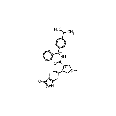 CC(C)c1ccc([C@@H](NC(=O)[C@@H]2C[C@@H](F)CN2C(=O)Cc2noc(=O)[nH]2)c2ccccc2)nc1